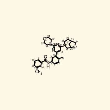 Cc1ccc(NC(=O)c2cccc(C(F)(F)F)c2)cc1-c1cc(N2CCC3COC(C3)C2)nc(N2CCOCC2)n1